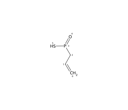 C=CC[P](=O)S